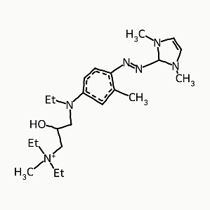 CCN(CC(O)C[N+](C)(CC)CC)c1ccc(N=NC2N(C)C=CN2C)c(C)c1